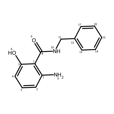 Nc1cccc(O)c1C(=O)NCc1ccccc1